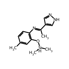 CC(=Nc1ccc(C)cc1O[SiH](C)C)c1cn[nH]c1